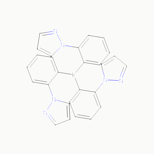 c1cc[c]([Ir]([c]2ccccc2-n2cccn2)[c]2ccccc2-n2cccn2)c(-n2cccn2)c1